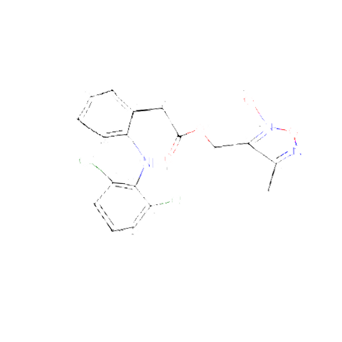 Cc1no[n+]([O-])c1COC(=O)Cc1ccccc1Nc1c(Cl)cccc1Cl